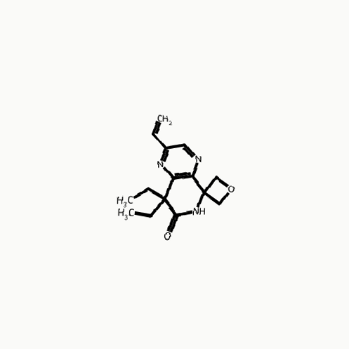 C=Cc1cnc2c(n1)C(CC)(CC)C(=O)NC21COC1